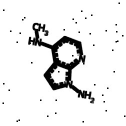 CNc1ccnc2c1ccn2N